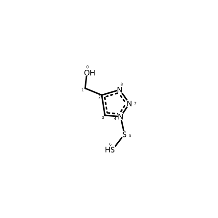 OCc1cn(SS)nn1